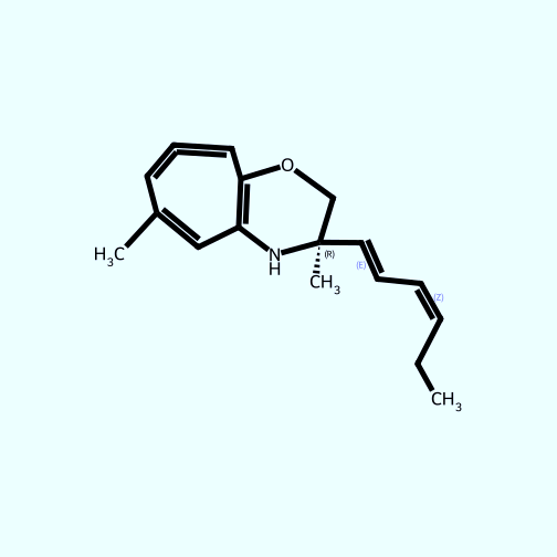 CC/C=C\C=C\[C@]1(C)COC2=C(C=C(C)C=C=C2)N1